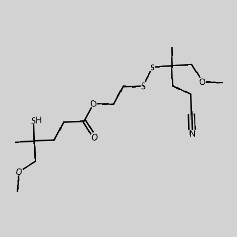 COCC(C)(S)CCC(=O)OCCSSC(C)(CCC#N)COC